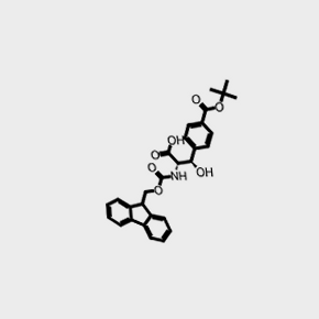 CC(C)(C)OC(=O)c1ccc([C@@H](O)[C@H](NC(=O)OCC2c3ccccc3-c3ccccc32)C(=O)O)cc1